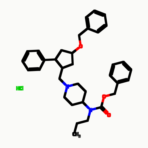 CCCN(C(=O)OCc1ccccc1)C1CCN(CC2CC(OCc3ccccc3)CC2c2ccccc2)CC1.Cl